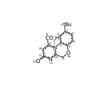 CC(C)(C)c1ccc2c(c1)-n1c(C(=O)O)cc(=O)nc1CO2